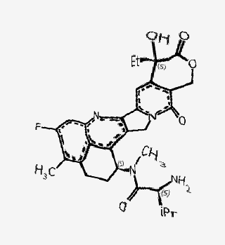 CC[C@@]1(O)C(=O)OCc2c1cc1n(c2=O)Cc2c-1nc1cc(F)c(C)c3c1c2[C@@H](N(C)C(=O)[C@@H](N)C(C)C)CC3